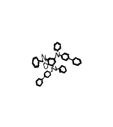 c1ccc(-c2ccc(N(c3ccccc3)c3cc(N(c4ccccc4)c4ccc(-c5ccccc5)cc4)c4oc(-c5ccccc5)nc4c3)cc2)cc1